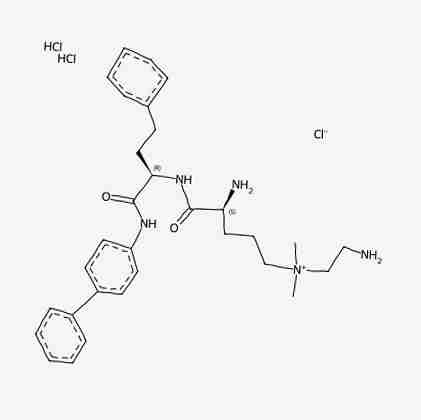 C[N+](C)(CCN)CCC[C@H](N)C(=O)N[C@H](CCc1ccccc1)C(=O)Nc1ccc(-c2ccccc2)cc1.Cl.Cl.[Cl-]